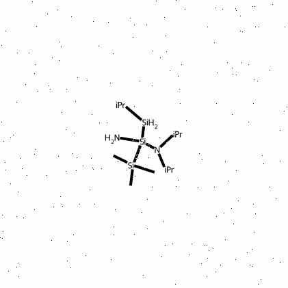 CC(C)[SiH2][Si](N)(N(C(C)C)C(C)C)[Si](C)(C)C